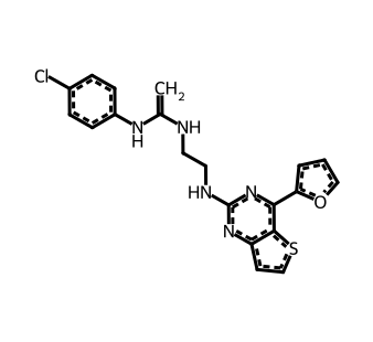 C=C(NCCNc1nc(-c2ccco2)c2sccc2n1)Nc1ccc(Cl)cc1